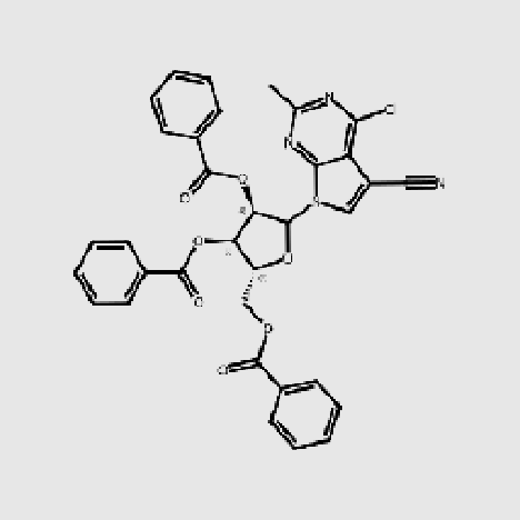 Cc1nc(Cl)c2c(C#N)cn(C3O[C@H](COC(=O)c4ccccc4)[C@@H](OC(=O)c4ccccc4)[C@H]3OC(=O)c3ccccc3)c2n1